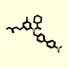 C=C(CC)CCc1cc(C)cc(N(Cc2ccc(-c3ccc(N(C)C)cc3)cc2)C(=C)C2CCCCC2)c1